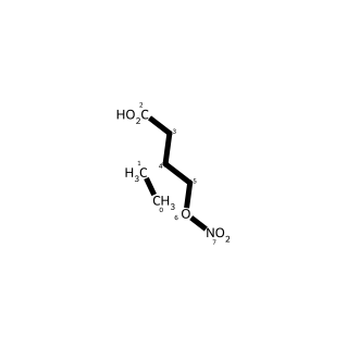 CC.O=C(O)CCCO[N+](=O)[O-]